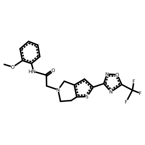 COc1ccccc1NC(=O)CN1CCc2sc(-c3noc(C(F)(F)F)n3)cc2C1